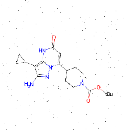 CC(C)(C)OC(=O)N1CCC(c2cc(=O)[nH]c3c(C4CC4)c(N)nn23)CC1